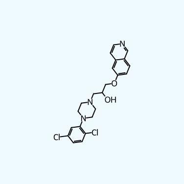 OC(COc1ccc2cnccc2c1)CN1CCN(c2cc(Cl)ccc2Cl)CC1